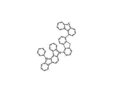 c1ccc(-n2c3ccccc3c3ccc4c(c5ccccc5n4-c4cccc5c4-c4cccc(-c6cccc7sc8ccccc8c67)c4C5)c32)cc1